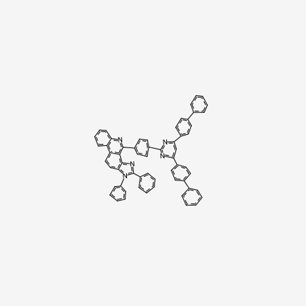 c1ccc(-c2ccc(-c3cc(-c4ccc(-c5ccccc5)cc4)nc(-c4ccc(-c5nc6ccccc6c6ccc7c(nc(-c8ccccc8)n7-c7ccccc7)c56)cc4)n3)cc2)cc1